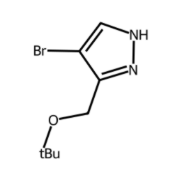 CC(C)(C)OCc1n[nH]cc1Br